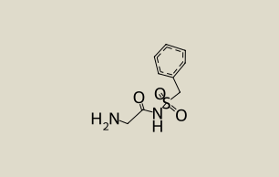 NCC(=O)NS(=O)(=O)Cc1ccccc1